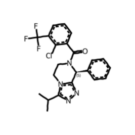 CC(C)c1nnc2n1CCN(C(=O)c1cccc(C(F)(F)F)c1Cl)[C@H]2c1ccccc1